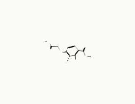 COC(=O)COc1ccc(C(=O)OC)c(O)c1Br